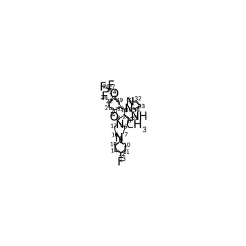 CC1=C(C(=O)N2CCN(c3ccc(F)cc3)CC2)C(c2cccc(OC(F)(F)F)c2)n2nccc2N1